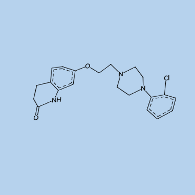 O=C1CCc2ccc(OCCN3CCN(c4ccccc4Cl)CC3)cc2N1